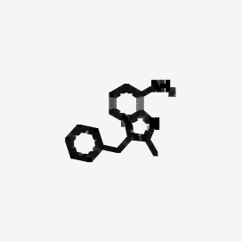 Cc1nc2c(N)cccn2c1Cc1ccccc1